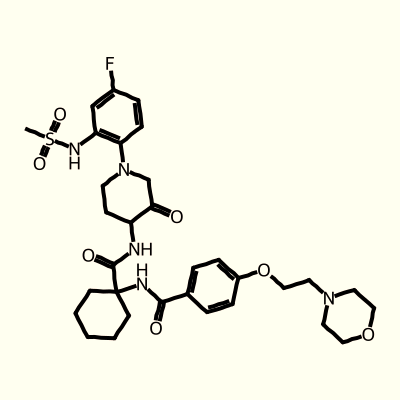 CS(=O)(=O)Nc1cc(F)ccc1N1CCC(NC(=O)C2(NC(=O)c3ccc(OCCN4CCOCC4)cc3)CCCCC2)C(=O)C1